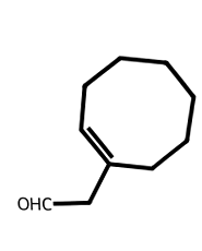 O=CCC1=CCCCCCC1